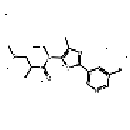 CCN(C(=O)C(C)CSC)c1sc(-c2cncc(F)c2)nc1C